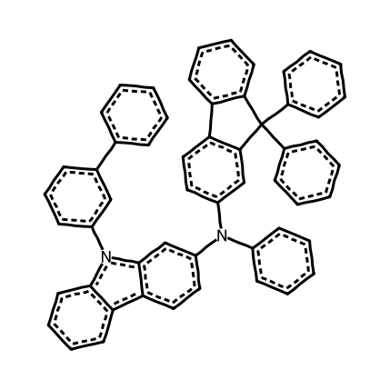 c1ccc(-c2cccc(-n3c4ccccc4c4ccc(N(c5ccccc5)c5ccc6c(c5)C(c5ccccc5)(c5ccccc5)c5ccccc5-6)cc43)c2)cc1